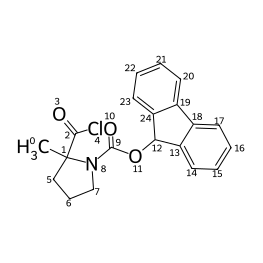 CC1(C(=O)Cl)CCCN1C(=O)OC1c2ccccc2-c2ccccc21